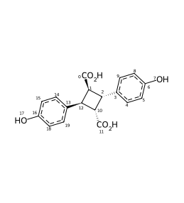 O=C(O)[C@H]1[C@H](c2ccc(O)cc2)[C@H](C(=O)O)[C@H]1c1ccc(O)cc1